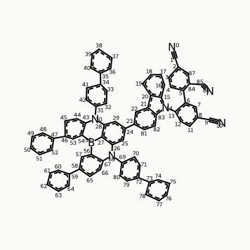 N#Cc1ccc(-c2cc(C#N)ccc2-n2c3ccccc3c3cc(-c4cc5c6c(c4)N(c4ccc(-c7ccccc7)cc4)c4ccc(-c7ccccc7)cc4B6c4cc(-c6ccccc6)ccc4N5c4ccc(-c5ccccc5)cc4)ccc32)c(C#N)c1